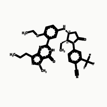 CCCc1nn(C)c2c(=O)[nH]c(-c3cc(N[C@@H]4CC(=O)N(c5ccc(C#N)c(C(F)(F)F)c5)[C@@H]4CC)ccc3OCC)nc12